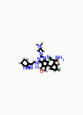 CN(C)C1CN(c2nc(NCc3n[nH]c4c3CCCC4)c3c4c(c(-c5ccc(F)c6sc(N)c(C#N)c56)c(Cl)c3n2)COC4)C1